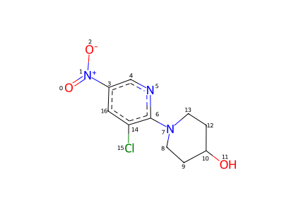 O=[N+]([O-])c1cnc(N2CCC(O)CC2)c(Cl)c1